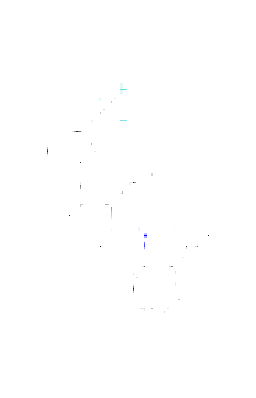 CC1=C(c2cccc(Nc3ccccc3C(C)(C)C)c2C2CC2)CCC=C1C(F)(F)F